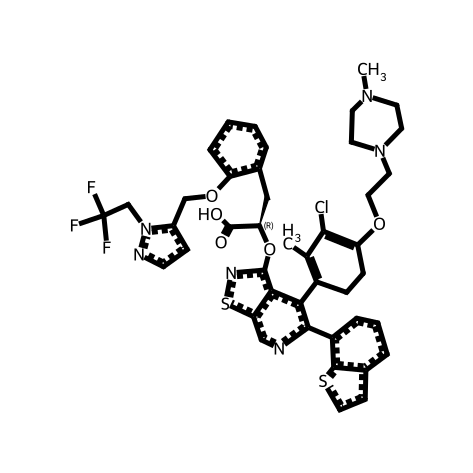 CC1=C(c2c(-c3cccc4ccsc34)ncc3snc(O[C@H](Cc4ccccc4OCc4ccnn4CC(F)(F)F)C(=O)O)c23)CCC(OCCN2CCN(C)CC2)=C1Cl